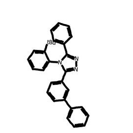 CC(C)(C)c1ccccc1-n1c(-c2ccccc2)nnc1-c1cccc(-c2ccccc2)c1